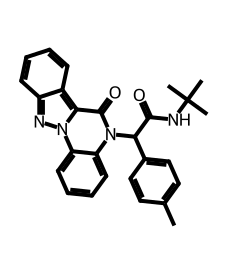 Cc1ccc(C(C(=O)NC(C)(C)C)n2c(=O)c3c4ccccc4nn3c3ccccc32)cc1